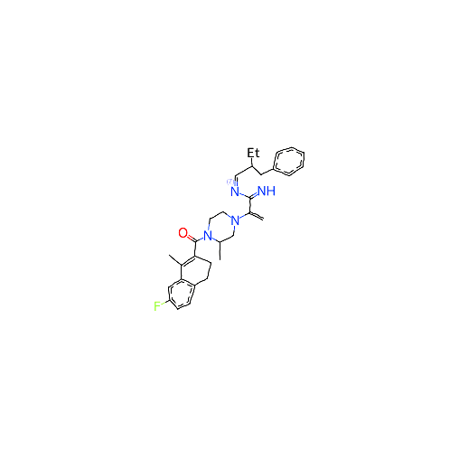 C=C(C(=N)/N=C\C(CC)Cc1ccccc1)N1CCN(C(=O)C2=C(C)c3cc(F)ccc3CC2)C(C)C1